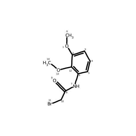 COc1cccc(NC(=O)CBr)c1OC